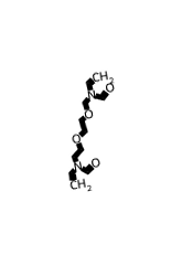 C=CN(C=O)CCOCCOCN(C=C)C=O